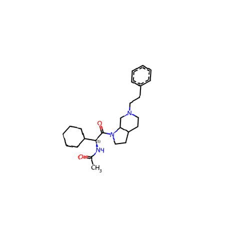 CC(=O)N[C@H](C(=O)N1CCC2CCN(CCc3ccccc3)CC21)C1CCCCC1